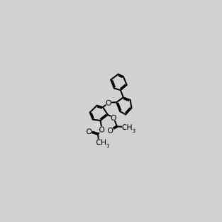 CC(=O)Oc1cccc(Oc2ccccc2-c2ccccc2)c1OC(C)=O